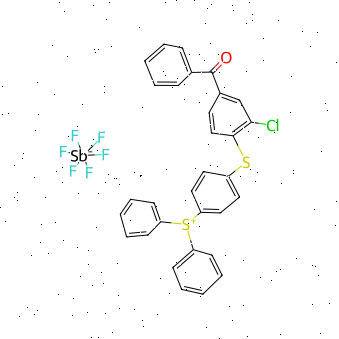 O=C(c1ccccc1)c1ccc(Sc2ccc([S+](c3ccccc3)c3ccccc3)cc2)c(Cl)c1.[F][Sb-]([F])([F])([F])([F])[F]